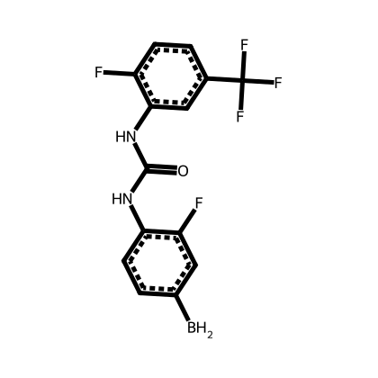 Bc1ccc(NC(=O)Nc2cc(C(F)(F)F)ccc2F)c(F)c1